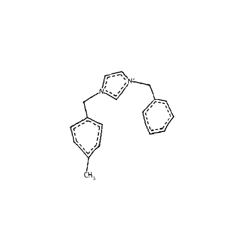 Cc1ccc(Cn2cc[n+](Cc3ccccc3)c2)cc1